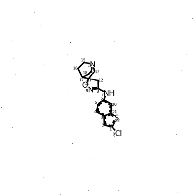 Clc1cc2ccc(NC3=NO[C@@]4(C3)CN3CCC4CC3)cc2s1